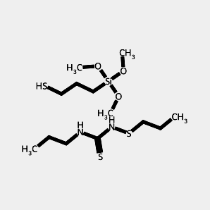 CCCNC(=S)NSCCC.CO[Si](CCCS)(OC)OC